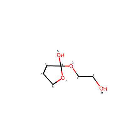 OCCOC1(O)CCCO1